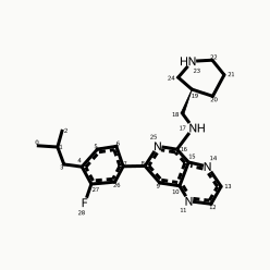 CC(C)Cc1ccc(-c2cc3nccnc3c(NC[C@@H]3CCCNC3)n2)cc1F